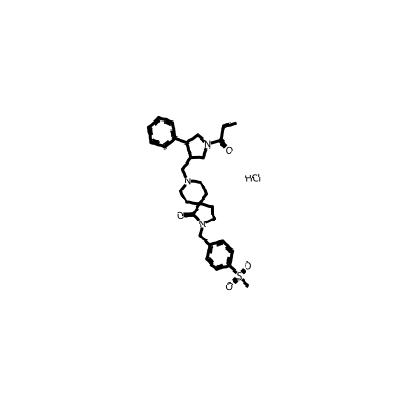 CCC(=O)N1CC(CN2CCC3(CC2)CCN(Cc2ccc(S(C)(=O)=O)cc2)C3=O)C(c2ccccc2)C1.Cl